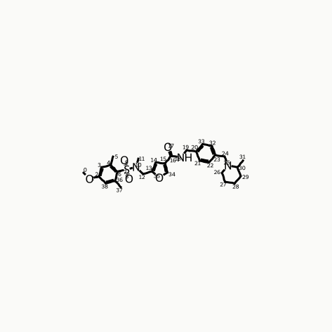 COc1cc(C)c(S(=O)(=O)N(C)Cc2cc(C(=O)NCc3ccc(CN4CCCCC4C)cc3)co2)c(C)c1